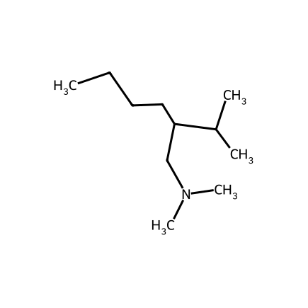 CCCCC(CN(C)C)C(C)C